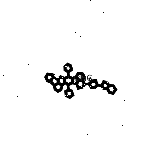 O=Cc1cc(-c2ccc3ccccc3c2)ccc1-c1ccc2c3c(-c4ccccc4)c4c(cc5c6ccccc6c6cccc4c65)c(-c4ccccc4)c3c3cccc1c32